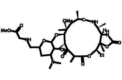 CC[C@H]1OC(=O)C(C)C(=O)[C@H](C)[C@@H](OC2OC(CNCC(=O)OC)CC(N(C)C)C2O)[C@](C)(OC)C[C@@H](C)CN[C@H](C)[C@H]2NC(=O)O[C@@]21C